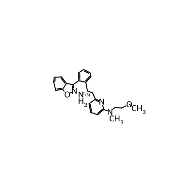 COCCN(C)c1cccc(C[C@H](N)c2ccccc2-c2noc3ccccc23)n1